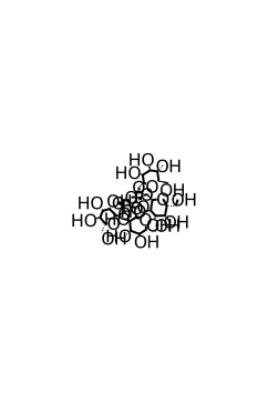 O=P(O[C@H]1O[C@H](CO)[C@@H](O)[C@H](O)[C@H]1O)(O[C@H]1O[C@H](CO)[C@@H](O)[C@H](O)[C@H]1O)OP(=O)(O[C@H]1O[C@H](CO)[C@@H](O)[C@H](O)[C@H]1O)O[C@H]1O[C@H](CO)[C@@H](O)[C@H](O)[C@H]1O